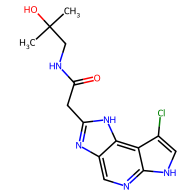 CC(C)(O)CNC(=O)Cc1nc2cnc3[nH]cc(Cl)c3c2[nH]1